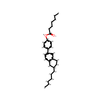 CCCCCCC(=O)Oc1ccc(-c2ccc3c(c2)CCC(CCCCCC)C3)cc1